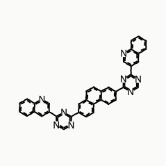 c1ccc2ncc(-c3ncnc(-c4ccc5c(ccc6cc(-c7ncnc(-c8cnc9ccccc9c8)n7)ccc65)c4)n3)cc2c1